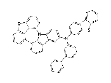 c1ccc(-c2cccc(N(c3ccc4c(c3)sc3ccccc34)c3ccc4c(c3)c3cccc5c6cccc7sc8cccc(c8c76)n4c53)c2)cc1